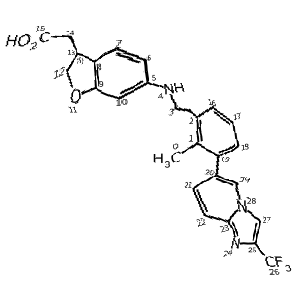 Cc1c(CNc2ccc3c(c2)OC[C@H]3CC(=O)O)cccc1-c1ccc2nc(C(F)(F)F)cn2c1